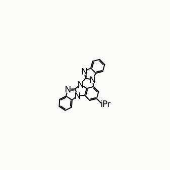 CC(C)c1cc2c3c(c1)n1c4ccccc4nc1n3c1nc3ccccc3n21